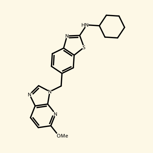 COc1ccc2ncn(Cc3ccc4nc(NC5CCCCC5)sc4c3)c2n1